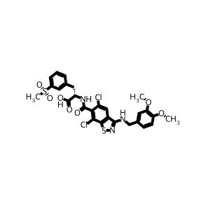 COc1ccc(CNc2nsc3c(Cl)c(C(=O)N[C@@H](Cc4cccc(S(C)(=O)=O)c4)C(=O)O)c(Cl)cc23)cc1OC